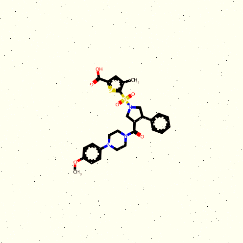 COc1ccc(N2CCN(C(=O)C3CN(S(=O)(=O)c4sc(C(=O)O)cc4C)CC3c3ccccc3)CC2)cc1